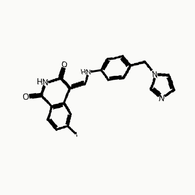 O=C1NC(=O)c2ccc(I)cc2C1=CNc1ccc(Cn2ccnc2)cc1